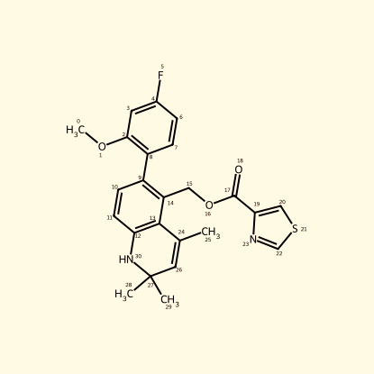 COc1cc(F)ccc1-c1ccc2c(c1COC(=O)c1cscn1)C(C)=CC(C)(C)N2